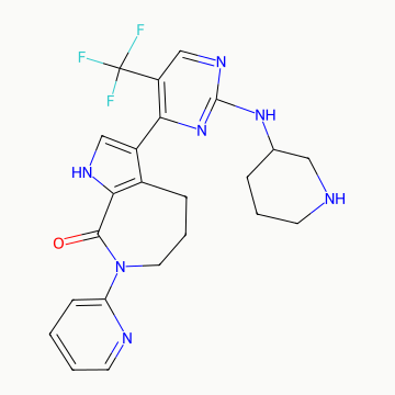 O=C1c2[nH]cc(-c3nc(NC4CCCNC4)ncc3C(F)(F)F)c2CCCN1c1ccccn1